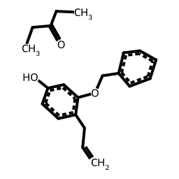 C=CCc1ccc(O)cc1OCc1ccccc1.CCC(=O)CC